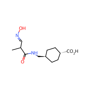 CC(C=NO)C(=O)NC[C@H]1CC[C@H](C(=O)O)CC1